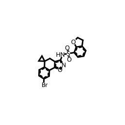 O=S(=O)(Nc1noc2c1CC1(CC1)c1ccc(Br)cc1-2)c1cccc2c1OCC2